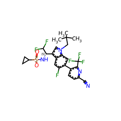 CC(C)(C)Cn1cc([C@H](NS(=O)(=O)C2CC2)C(F)F)c2cc(F)c(-c3ccc(C#N)nc3C(F)(F)F)cc21